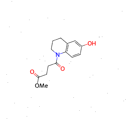 COC(=O)CCC(=O)N1CCCc2cc(O)ccc21